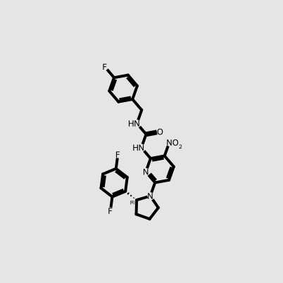 O=C(NCc1ccc(F)cc1)Nc1nc(N2CCC[C@@H]2c2cc(F)ccc2F)ccc1[N+](=O)[O-]